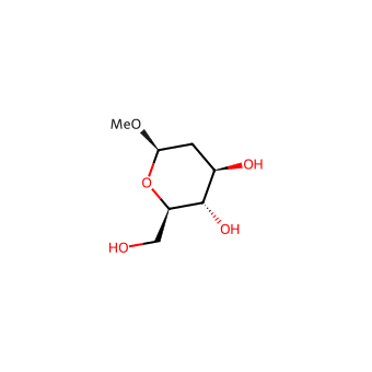 CO[C@H]1C[C@@H](O)[C@H](O)[C@@H](CO)O1